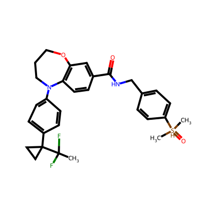 CC(F)(F)C1(c2ccc(N3CCCOc4cc(C(=O)NCc5ccc([SH](C)(C)=O)cc5)ccc43)cc2)CC1